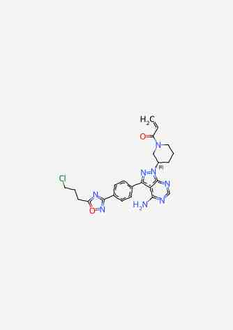 C=CC(=O)N1CCC[C@@H](n2nc(-c3ccc(-c4noc(CCCCl)n4)cc3)c3c(N)ncnc32)C1